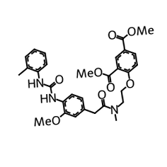 COC(=O)c1ccc(OCCN(C)C(=O)Cc2ccc(NC(=O)Nc3ccccc3C)c(OC)c2)c(C(=O)OC)c1